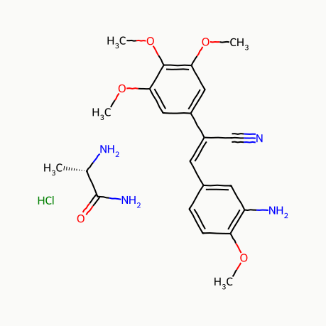 COc1ccc(C=C(C#N)c2cc(OC)c(OC)c(OC)c2)cc1N.C[C@H](N)C(N)=O.Cl